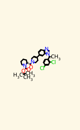 C[C@H](c1ccc(Cl)cc1Cl)n1cnc2ccc(C3=CCN(C(=O)[C@H]4CCCCN4C(=O)OC(C)(C)C)CC3)cc21